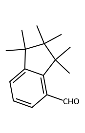 CC1(C)c2cccc(C=O)c2C(C)(C)C1(C)C